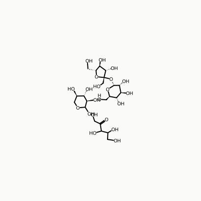 O=C(CO)C(O)C(O)CO.OC1OC[C@@H](O)[C@H](O)[C@H]1O.OC[C@H]1O[C@@](CO)(O[C@H]2O[C@H](CO)[C@@H](O)[C@H](O)[C@H]2O)[C@@H](O)[C@@H]1O